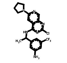 CC(Nc1nc(Cl)nc2cnc(N3CCCC3)cc12)c1cc(N)cc(C(F)(F)F)c1